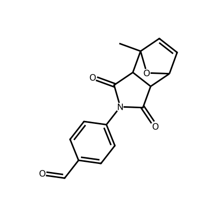 CC12C=CC(O1)C1C(=O)N(c3ccc(C=O)cc3)C(=O)C12